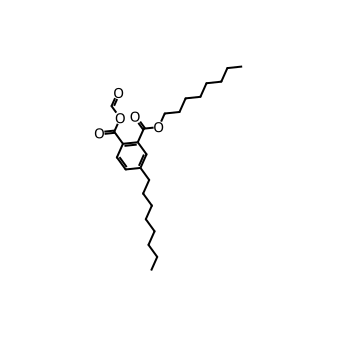 CCCCCCCCOC(=O)c1cc(CCCCCCCC)ccc1C(=O)OC=O